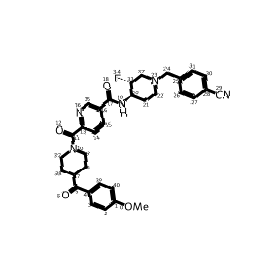 COc1ccc(C(=O)C2CCN(C(=O)c3ccc(C(=O)N[C@@H]4CCN(Cc5ccc(C#N)cc5)C[C@H]4F)cn3)CC2)cc1